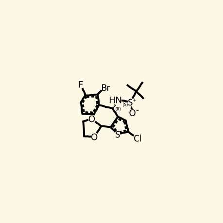 CC(C)(C)[S@@+]([O-])N[C@H](c1cc(Cl)sc1C1OCCO1)c1cccc(F)c1Br